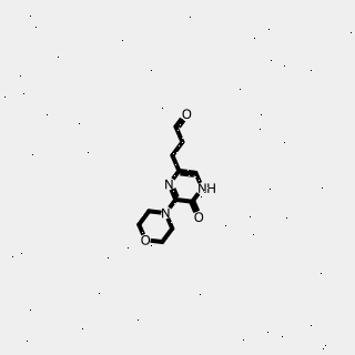 O=CCCc1c[nH]c(=O)c(N2CCOCC2)n1